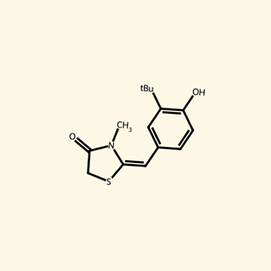 CN1C(=O)CSC1=Cc1ccc(O)c(C(C)(C)C)c1